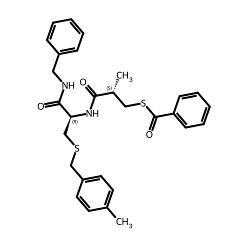 Cc1ccc(CSC[C@H](NC(=O)[C@H](C)CSC(=O)c2ccccc2)C(=O)NCc2ccccc2)cc1